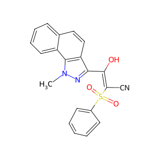 Cn1nc(C(O)=C(C#N)S(=O)(=O)c2ccccc2)c2ccc3ccccc3c21